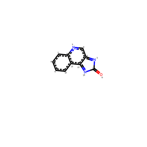 O=C1N=c2cnc3ccccc3c2=N1